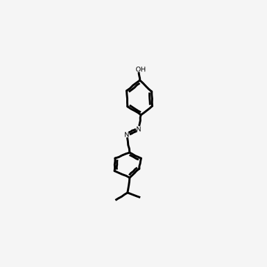 CC(C)c1ccc(N=Nc2ccc(O)cc2)cc1